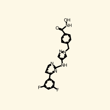 O=C(NO)c1ccc(Cn2cc(Nc3nccc(-c4cc(F)cc(F)c4)n3)cn2)cc1